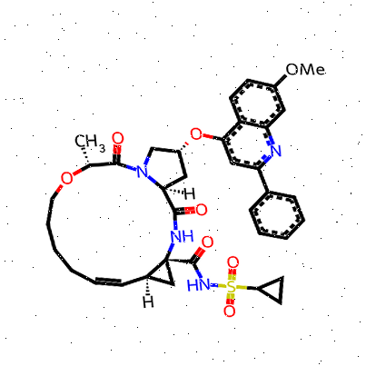 COc1ccc2c(O[C@@H]3C[C@H]4C(=O)N[C@]5(C(=O)NS(=O)(=O)C6CC6)C[C@H]5/C=C\CCCCO[C@H](C)C(=O)N4C3)cc(-c3ccccc3)nc2c1